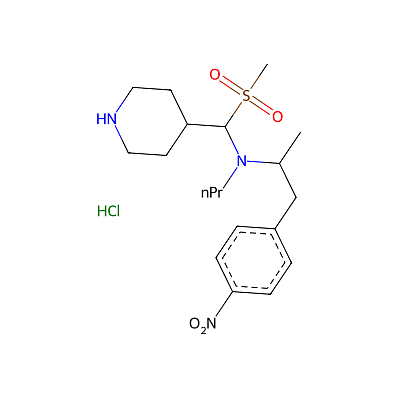 CCCN(C(C)Cc1ccc([N+](=O)[O-])cc1)C(C1CCNCC1)S(C)(=O)=O.Cl